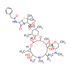 CO[C@]1(C)C[C@H](O[C@H]2[C@H](C)[C@@H](O[C@H]3C[C@@H](N(C)C)C[C@@H](C)O3)[C@](C)(O)C[C@@H](C)CN(C)[C@H](C)[C@@H](O)[C@@]3(O)C(C)[C@H]3OC(=O)[C@@H]2C)O[C@@H](C)[C@@H]1OC(=O)C1N2C(=O)C(NC(=O)Cc3ccccc3)C2SC1(C)C